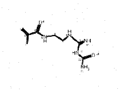 C=C(C)C(=O)NCCNC(=N)NC(N)=O